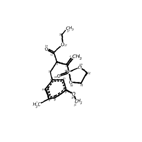 C=C(C(Cc1cc(C)cc(OC)c1)C(=O)OCC)P1(=O)OCCO1